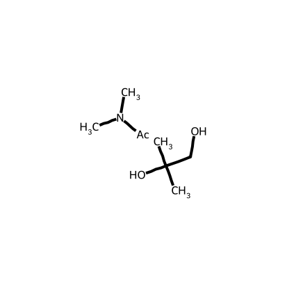 CC(=O)N(C)C.CC(C)(O)CO